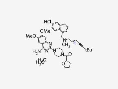 CN(C/C=C/C#CC(C)(C)C)Cc1cccc2ccccc12.COc1cc2nc(N3CCN(C(=O)C4CCCO4)CC3)nc(N)c2cc1OC.Cl.O.O